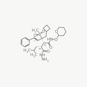 CC(C)C[C@@H](C(=O)NN)[C@@H](C(=O)NOC1CCCCO1)C(/C=C/c1ccccc1)(CC1CCC1)S(C)(=O)=O